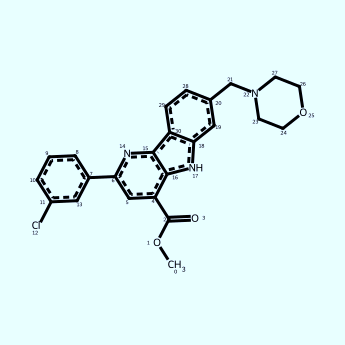 COC(=O)c1cc(-c2cccc(Cl)c2)nc2c1[nH]c1cc(CN3CCOCC3)ccc12